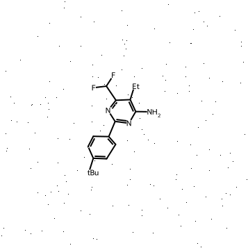 CCc1c(N)nc(-c2ccc(C(C)(C)C)cc2)nc1C(F)F